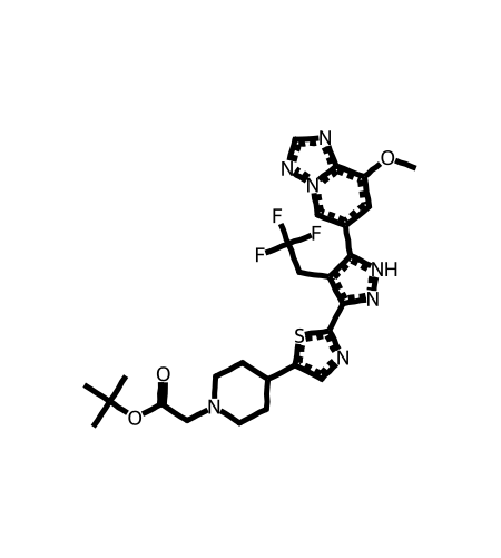 COc1cc(-c2[nH]nc(-c3ncc(C4CCN(CC(=O)OC(C)(C)C)CC4)s3)c2CC(F)(F)F)cn2ncnc12